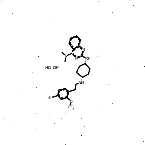 CN(C)c1nc(N[C@H]2CC[C@@H](NCCc3ccc(Br)cc3OC(F)(F)F)CC2)nc2ccccc12.Cl.Cl